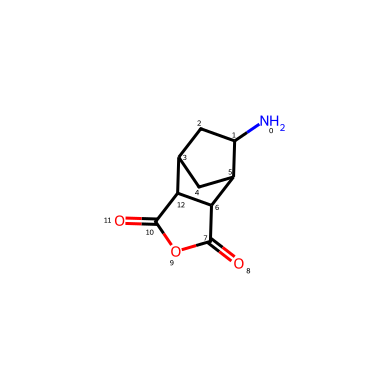 NC1CC2CC1C1C(=O)OC(=O)C21